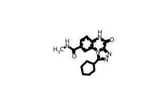 CNC(=O)c1ccc2[nH]c(=O)c3nnc(C4CCCCC4)n3c2c1